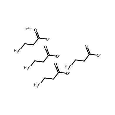 CCCC(=O)[O-].CCCC(=O)[O-].CCCC(=O)[O-].CCCC(=O)[O-].[Ir+4]